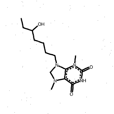 CCC(O)CCCCN1CN(C)c2c1n(C)c(=O)[nH]c2=O